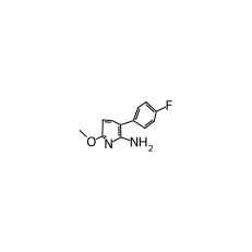 COc1ccc(-c2ccc(F)cc2)c(N)n1